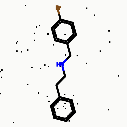 Brc1ccc(CNCCc2ccccc2)cc1